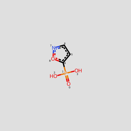 O=P(O)(O)c1ccno1